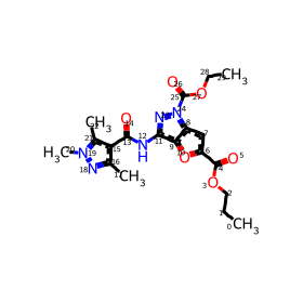 CCCOC(=O)c1cc2c(o1)c(NC(=O)c1c(C)nn(C)c1C)nn2C(=O)OCC